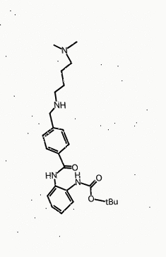 CN(C)CCCCNCc1ccc(C(=O)Nc2ccccc2NC(=O)OC(C)(C)C)cc1